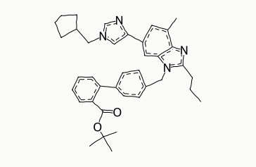 CCCc1nc2c(C)cc(-c3cn(CC4CCCC4)cn3)cc2n1Cc1ccc(-c2ccccc2C(=O)OC(C)(C)C)cc1